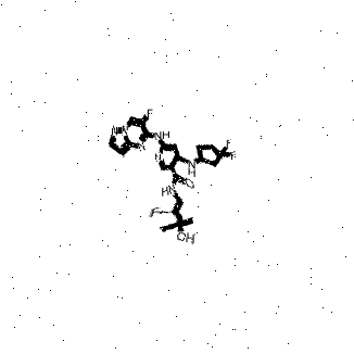 CC(C)(O)[C@H](F)CNC(=O)c1cnc(Nc2nc3ccnn3cc2F)cc1NC1CCC(F)(F)C1